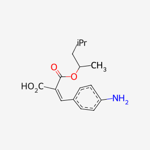 CC(C)CC(C)OC(=O)C(=Cc1ccc(N)cc1)C(=O)O